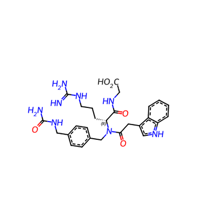 N=C(N)NCCC[C@H](C(=O)NCC(=O)O)N(Cc1ccc(CNC(N)=O)cc1)C(=O)Cc1c[nH]c2ccccc12